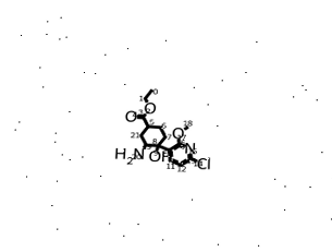 CCOC(=O)C1CCC(O)(c2ccc(Cl)nc2OC)C(N)C1